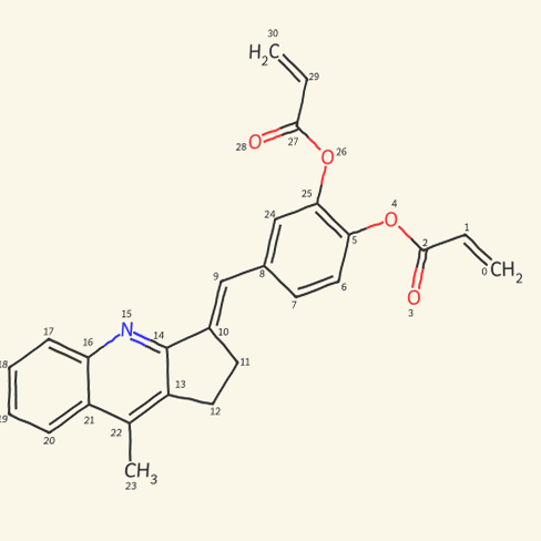 C=CC(=O)Oc1ccc(C=C2CCc3c2nc2ccccc2c3C)cc1OC(=O)C=C